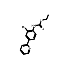 CCOC(=O)Nc1ccc(-c2ccccn2)cc1Br